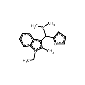 CCn1c(C)c(C(c2ccco2)N(C)C)c2ccccc21